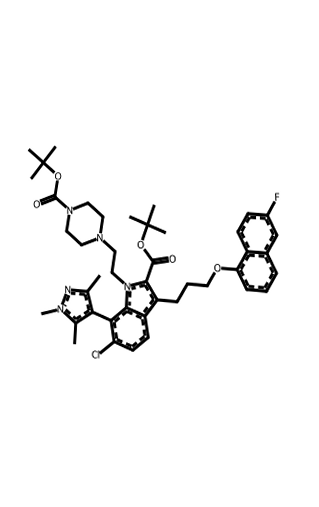 Cc1nn(C)c(C)c1-c1c(Cl)ccc2c(CCCOc3cccc4cc(F)ccc34)c(C(=O)OC(C)(C)C)n(CCN3CCN(C(=O)OC(C)(C)C)CC3)c12